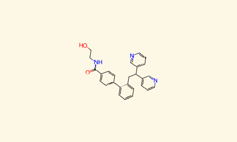 O=C(NCCO)c1ccc(-c2ccccc2CC(c2cccnc2)c2cccnc2)cc1